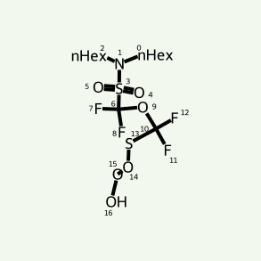 CCCCCCN(CCCCCC)S(=O)(=O)C(F)(F)OC(F)(F)SOOO